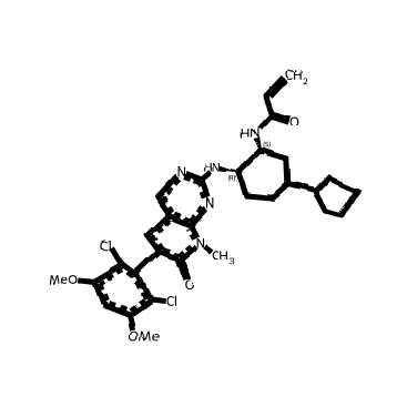 C=CC(=O)N[C@H]1CC(C2CCCC2)CC[C@H]1Nc1ncc2cc(-c3c(Cl)c(OC)cc(OC)c3Cl)c(=O)n(C)c2n1